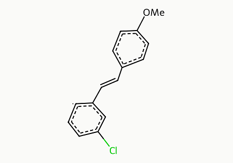 COc1ccc(/C=C/c2[c]ccc(Cl)c2)cc1